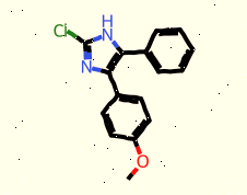 COc1ccc(-c2nc(Cl)[nH]c2-c2ccccc2)cc1